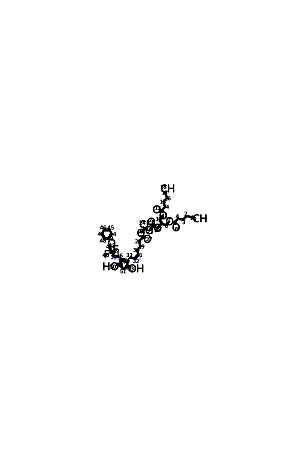 C#CCCCC(=O)OCC(COC(=O)CCCC#C)OC(=O)OC(C)OC(=O)CCC/C=C\C[C@@H]1[C@@H](/C=C/C(F)(F)COc2ccccc2)[C@H](O)C[C@@H]1O